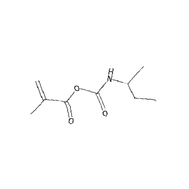 C=C(C)C(=O)OC(=O)NC(C)CC